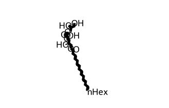 CCCCCCC=CCC=CCC=CCC=CCC=CCC(=O)OC[C@@H](O)COP(=O)(O)OCC(O)CO